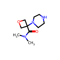 CN(C)C(=O)C1(N2CCNCC2)COC1